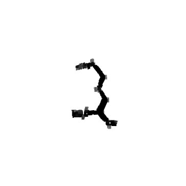 CCCCCCCCSC=C(C#N)C(=O)OCC